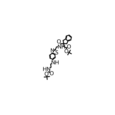 CC(C)(C)OC(=O)CC1(C(=O)NCc2nc3ccc(NCCNC(=O)OC(C)(C)C)cc3s2)Cc2ccccc2C1